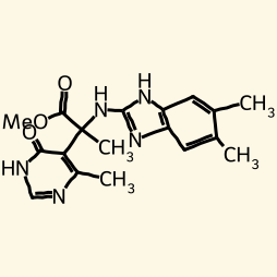 COC(=O)C(C)(Nc1nc2cc(C)c(C)cc2[nH]1)c1c(C)nc[nH]c1=O